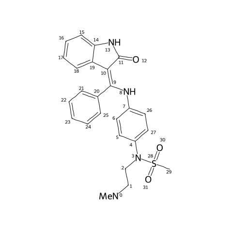 CNCCN(c1ccc(N/C(=C2\C(=O)Nc3ccccc32)c2ccccc2)cc1)S(C)(=O)=O